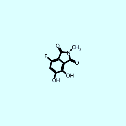 CN1C(=O)c2c(F)cc(O)c(O)c2C1=O